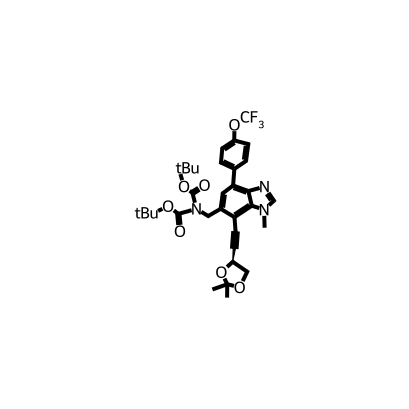 Cn1cnc2c(-c3ccc(OC(F)(F)F)cc3)cc(CN(C(=O)OC(C)(C)C)C(=O)OC(C)(C)C)c(C#C[C@H]3COC(C)(C)O3)c21